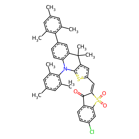 Cc1cc(C)c(-c2ccc3c(c2)C(C)(C)c2cc(/C=C4\C(=O)c5ccc(Cl)cc5S4(=O)=O)sc2N3c2c(C)cc(C)cc2C)c(C)c1